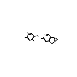 Bc1cc(COc2cc3c(cn2)C2C[C@@H]2C3)c(F)cc1C(F)(F)F